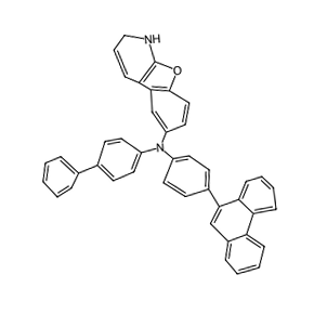 C1=Cc2c(oc3ccc(N(c4ccc(-c5ccccc5)cc4)c4ccc(-c5cc6ccccc6c6ccccc56)cc4)cc23)NC1